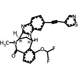 CN1C(=O)c2cccc(OC(F)F)c2[C@H]2C[C@@H]1c1nc3ccc(C#Cc4cnsc4)cc3n12